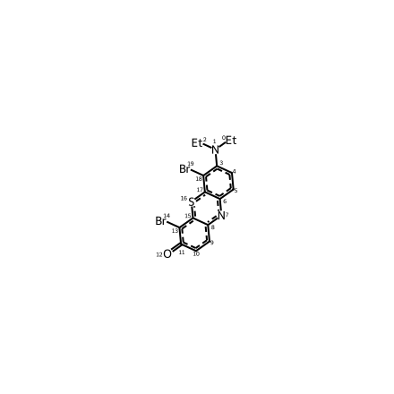 CCN(CC)c1ccc2nc3ccc(=O)c(Br)c-3sc2c1Br